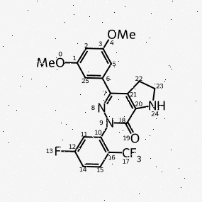 COc1cc(OC)cc(-c2nn(-c3cc(F)ccc3C(F)(F)F)c(=O)c3c2CCN3)c1